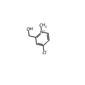 C[n+]1ccc(Cl)cc1CO